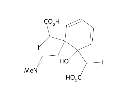 CNCCC1(C(I)C(=O)O)C=CC=CC1(O)C(I)C(=O)O